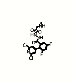 CNCS(=O)(=O)NNC(=O)c1cc(F)cc(F)c1-c1cc(Cl)nc(Cl)c1